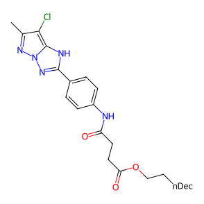 CCCCCCCCCCCCOC(=O)CCC(=O)Nc1ccc(-c2nn3nc(C)c(Cl)c3[nH]2)cc1